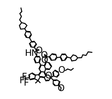 CCCCCC1CCC(c2ccc(-c3ccc(C(=O)Nc4ccc(-c5cc6c7c(c8c(c6c6cccc(OC(=O)c9ccc(-c%10ccc(C%11CCC(CCCCC)CC%11)cc%10)cc9)c56)OC(c5ccc(OC)cc5)(c5ccc(OCCCC)cc5)C=C8)C(C)(C)c5cc(C(F)(F)F)ccc5-7)cc4)cc3)cc2)CC1